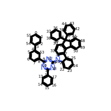 c1ccc(-c2cccc(-c3nc(-c4ccccc4)nc(-n4c5ccccc5c5c6c(ccc54)C(c4ccccc4)(c4ccccc4)c4ccccc4-6)n3)c2)cc1